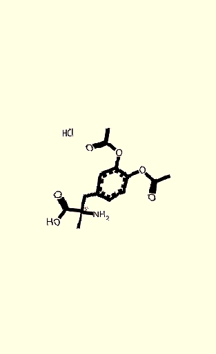 CC(=O)Oc1ccc(C[C@](C)(N)C(=O)O)cc1OC(C)=O.Cl